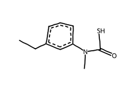 CCc1cccc(N(C)C(=O)S)c1